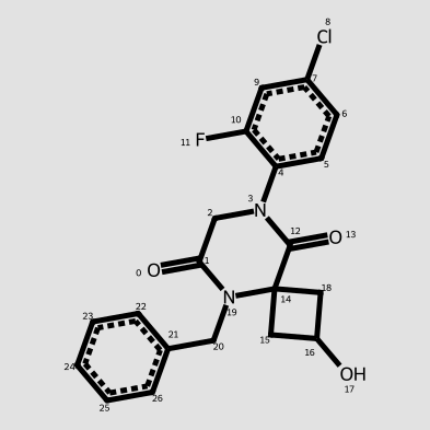 O=C1CN(c2ccc(Cl)cc2F)C(=O)C2(CC(O)C2)N1Cc1ccccc1